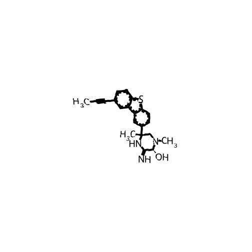 CC#Cc1ccc2sc3ccc(C4(C)CN(C)[C@H](O)C(=N)N4)cc3c2c1